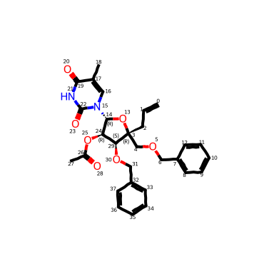 C=CC[C@]1(COCc2ccccc2)O[C@@H](n2cc(C)c(=O)[nH]c2=O)[C@H](OC(C)=O)[C@@H]1OCc1ccccc1